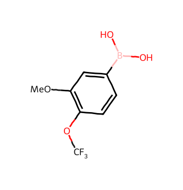 COc1cc(B(O)O)ccc1OC(F)(F)F